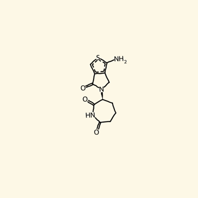 Nc1scc2c1CN([C@H]1CCCC(=O)NC1=O)C2=O